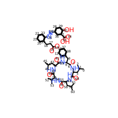 CC(C)CC1NC(=O)C(Cc2ccc(OC(=O)CCc3ccccc3/N=N/c3ccc(O)c(C(=O)O)c3)cc2)NC(=O)C(CC(C)C)NC(=O)C(C(C)C)NC(=O)C(CC(C)C)NC1=O